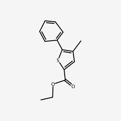 CCOC(=O)c1cc(C)c(-c2ccccc2)s1